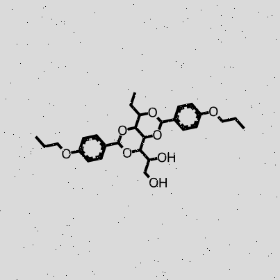 CCCOc1ccc(C2OC(C(O)CO)C3OC(c4ccc(OCCC)cc4)OC(CC)C3O2)cc1